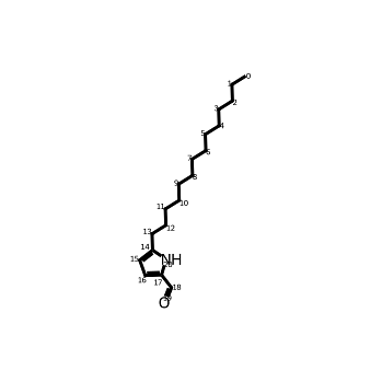 CCCCCCCCCCCCCCc1ccc(C=O)[nH]1